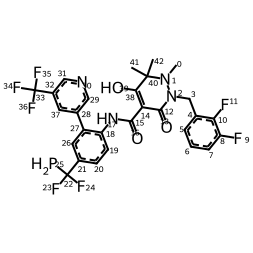 CN1N(Cc2cccc(F)c2F)C(=O)C(C(=O)Nc2ccc(C(F)(F)P)cc2-c2cncc(C(F)(F)F)c2)=C(O)C1(C)C